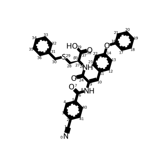 N#Cc1ccc(C(=O)NC(=Cc2ccc(Oc3ccccc3)cc2)C(=O)N[C@@H](CSCc2ccccc2)C(=O)O)cc1